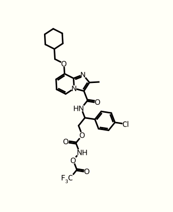 Cc1nc2c(OCC3CCCCC3)cccn2c1C(=O)NC(COC(=O)NOC(=O)C(F)(F)F)c1ccc(Cl)cc1